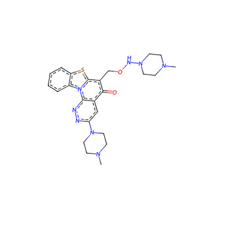 CN1CCN(NOCc2c(=O)c3cc(N4CCN(C)CC4)nnc3n3c2sc2ccccc23)CC1